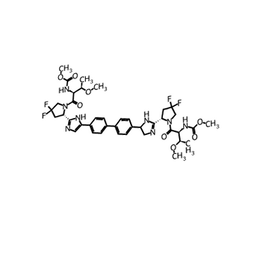 COC(=O)N[C@H](C(=O)N1CC(F)(F)C[C@H]1C1=NCC(c2ccc(-c3ccc(-c4cnc([C@@H]5CC(F)(F)CN5C(=O)[C@@H](NC(=O)OC)[C@@H](C)OC)[nH]4)cc3)cc2)N1)[C@@H](C)OC